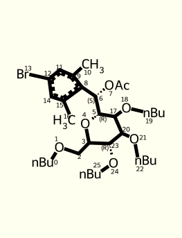 CCCCOCC1O[C@H]([C@@H](OC(C)=O)c2c(C)cc(Br)cc2C)C(OCCCC)C(OCCCC)[C@@H]1OCCCC